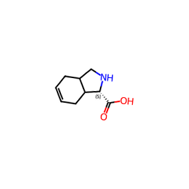 O=C(O)[C@H]1NCC2CC=CCC21